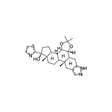 CC1(C)O[C@H]2[C@H](O1)[C@H]1Cc3[nH]ncc3C[C@]1(C)[C@H]1CC[C@@]3(C)[C@@H](CC[C@@]3(O)c3nccs3)[C@H]21